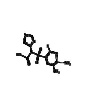 Cc1cc(S(=O)(=O)N(C(=O)O)c2cscn2)c(F)cc1N